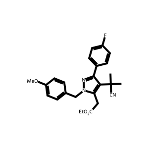 CCOC(=O)Cc1c(C(C)(C)C#N)c(-c2ccc(F)cc2)nn1Cc1ccc(OC)cc1